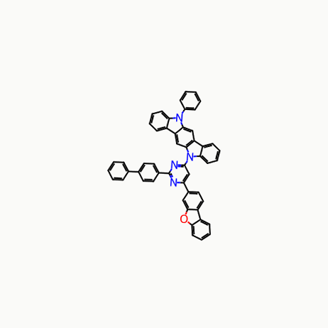 c1ccc(-c2ccc(-c3nc(-c4ccc5c(c4)oc4ccccc45)cc(-n4c5ccccc5c5cc6c(cc54)c4ccccc4n6-c4ccccc4)n3)cc2)cc1